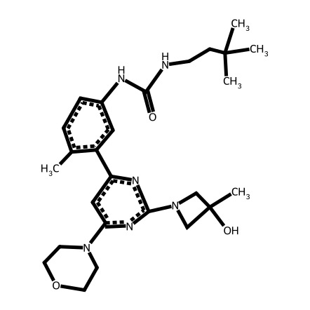 Cc1ccc(NC(=O)NCCC(C)(C)C)cc1-c1cc(N2CCOCC2)nc(N2CC(C)(O)C2)n1